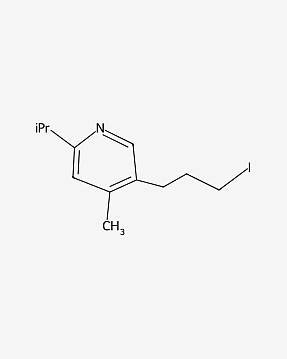 Cc1cc(C(C)C)ncc1CCCI